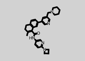 CC1=C(C(=O)Nc2ccc(N3CCC3)nc2)c2cc(-c3cncc(CN4CCCCC4)c3)ccc2CC1